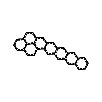 c1ccc2cc3cc4cc5c(cc4cc3cc2c1)cc1ccc2cccc3ccc5c1c23